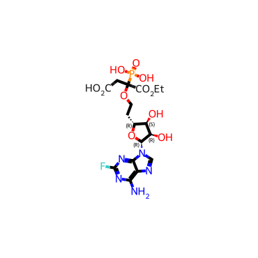 CCOC(=O)C(CC(=O)O)(OCC[C@H]1O[C@@H](n2cnc3c(N)nc(F)nc32)[C@H](O)[C@@H]1O)P(=O)(O)O